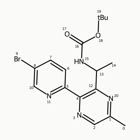 Cc1cnc(-c2ccc(Br)cn2)c(C(C)NC(=O)OC(C)(C)C)n1